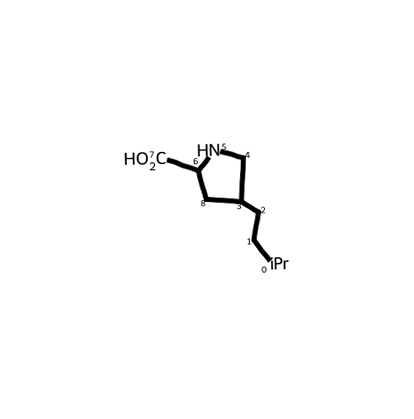 CC(C)CCC1CNC(C(=O)O)C1